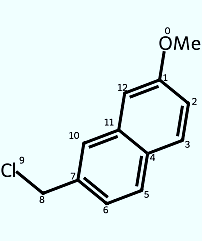 COc1ccc2ccc(CCl)cc2c1